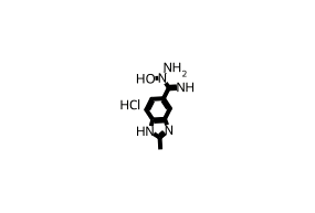 Cc1nc2cc(C(=N)N(N)O)ccc2[nH]1.Cl